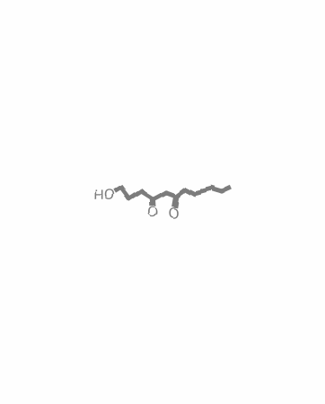 CCCCCC(=O)CC(=O)CCCO